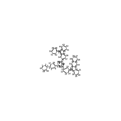 c1ccc(-c2ccc(-c3nc(-c4cccc(-n5c6ccccc6c6cc7ccccc7cc65)c4)nc(-c4ccc5c6ccccc6n(-c6ccccc6)c5c4)n3)cc2)cc1